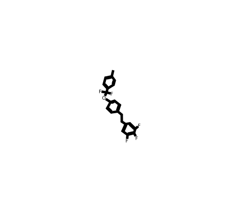 Cc1ccc(C(F)(F)Oc2ccc(CCc3cc(F)c(F)c(F)c3)cc2)cc1